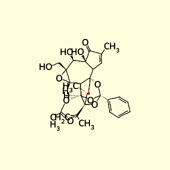 C=C(C)[C@@]12O[C@@]3(c4ccccc4)O[C@@H]1C1[C@@H]4O[C@]4(CO)[C@@H](O)[C@]4(O)C(=O)C(C)=CC4[C@@]1(O3)[C@H](C)[C@H]2OC(C)=O